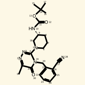 Cc1nnc(N2CCC[C@@H](NC(=O)OC(C)(C)C)C2)n(Cc2ccccc2C#N)c1=O